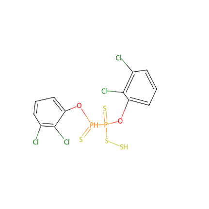 S=[PH](Oc1cccc(Cl)c1Cl)P(=S)(Oc1cccc(Cl)c1Cl)SS